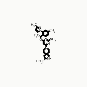 Cc1ccc([C@@H](Oc2cc(N3CCC4(CC3)CN[C@H](C(=O)O)C4)nc(N)n2)C(F)(F)F)c(-n2ccc(C)n2)c1